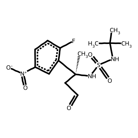 CC(C)(C)NS(=O)(=O)N[C@@](C)(CC=O)c1cc([N+](=O)[O-])ccc1F